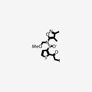 COCN(c1onc(C)c1C)[S+]([O-])c1ccsc1C(=O)CI